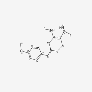 CNC1=C(C(C)=N)CCN(Cc2ccc(OC)cc2)C1